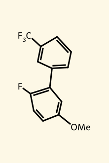 COc1ccc(F)c(-c2cccc(C(F)(F)F)c2)c1